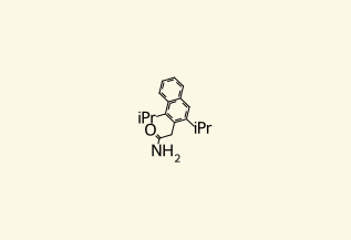 CC(C)c1cc2ccccc2c(C(C)C)c1CC(N)=O